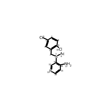 CC(=O)N(Cc1cc(Cl)ccc1Cl)c1cnccc1N